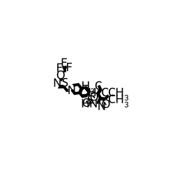 CC=Cc1c(NS(=O)(=O)c2ccc3c(c2)CN(Cc2cnc(OCC(F)(F)F)s2)CC3)noc1C(C)(C)C